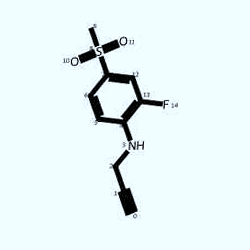 C#CCNc1ccc(S(C)(=O)=O)cc1F